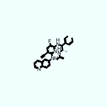 C#Cc1cc(F)c(NC(C(/C=C\C)=C/C)[C@H](C)NC(=C)C)nc1Nc1ccc2ncccc2c1